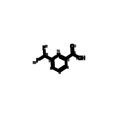 O=C(O)c1cccc(C(F)F)n1